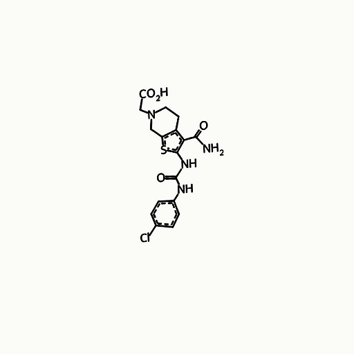 NC(=O)c1c(NC(=O)Nc2ccc(Cl)cc2)sc2c1CCN(CC(=O)O)C2